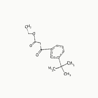 CCOC(=O)CC(=O)c1cccc(C(C)(C)C)c1